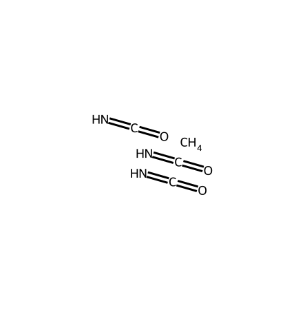 C.N=C=O.N=C=O.N=C=O